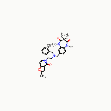 CCN1C(=O)C(C)(C)C(=O)N(C)c2cc(CN(CCn3ccc4oc(C)cc4c3=O)Cc3ccccc3C#N)ccc21